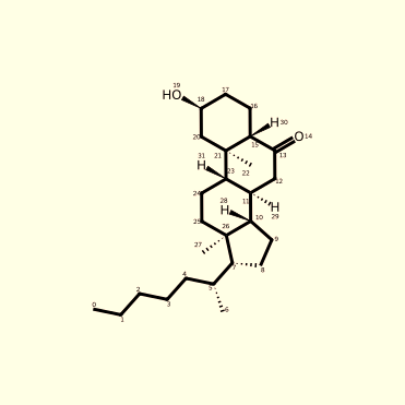 CCCCC[C@@H](C)[C@H]1CC[C@H]2[C@@H]3CC(=O)[C@H]4CC[C@H](O)C[C@]4(C)[C@H]3CC[C@]12C